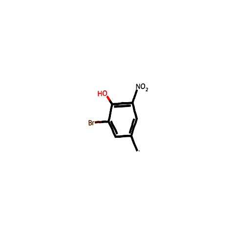 [CH2]c1cc(Br)c(O)c([N+](=O)[O-])c1